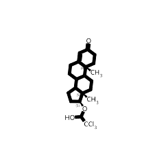 C[C@]12CCC(=O)C=C1CCC1C2CC[C@@]2(C)C1CC[C@@H]2OC(O)C(Cl)(Cl)Cl